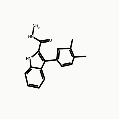 Cc1ccc(-c2c(C(=O)NN)[nH]c3ccccc23)cc1C